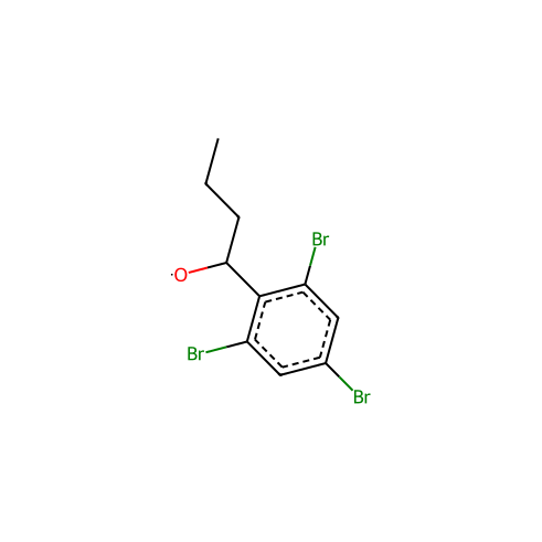 CCCC([O])c1c(Br)cc(Br)cc1Br